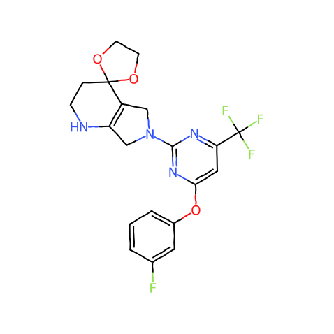 Fc1cccc(Oc2cc(C(F)(F)F)nc(N3CC4=C(C3)C3(CCN4)OCCO3)n2)c1